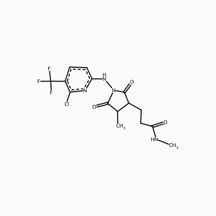 CNC(=O)CCC1C(=O)N(Nc2ccc(C(F)(F)F)c(Cl)n2)C(=O)C1C